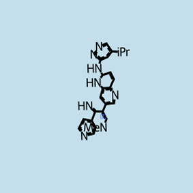 CN/C=C(\C(=N)c1ccncc1)c1cnc2c(c1)NC(Nc1cc(C(C)C)cnn1)C=C2